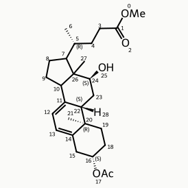 COC(=O)CC[C@@H](C)C1CCC2C3=CC=C4C[C@@H](OC(C)=O)CC[C@]4(C)[C@H]3C[C@H](O)C21C